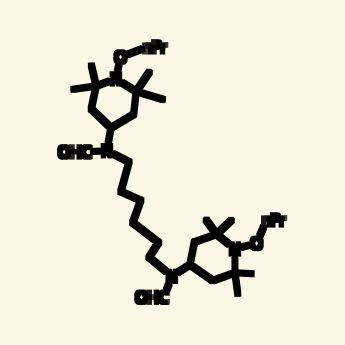 CCCON1C(C)(C)CC(N(C=O)CCCCCCN(C=O)C2CC(C)(C)N(OCCC)C(C)(C)C2)CC1(C)C